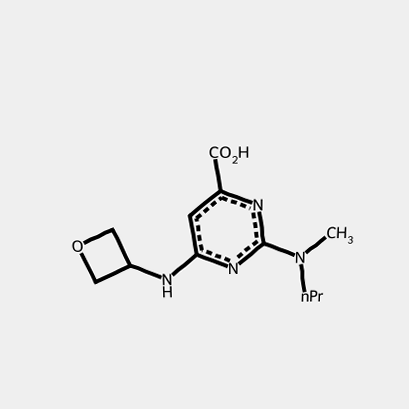 CCCN(C)c1nc(NC2COC2)cc(C(=O)O)n1